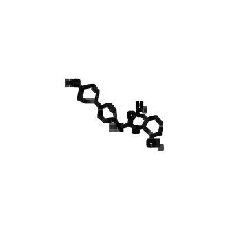 CC1CCCC(C)C1OC(=O)Nc1ccc(-c2ccc(O)cc2)cc1